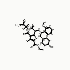 CCOC(=O)c1sc2c(c1C)c(=O)n(C(C)(C)C(N)=O)c(=O)n2C[C@H](C[C@H]1CC[C@H](O)CC1)c1ccccc1OC